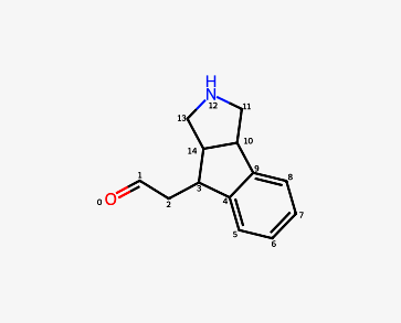 O=CCC1c2ccccc2C2CNCC12